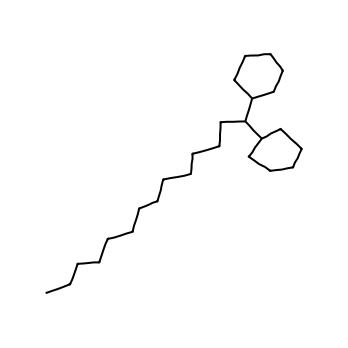 CCCCCCCCCCCCCC(C1CCCCC1)C1CCCCC1